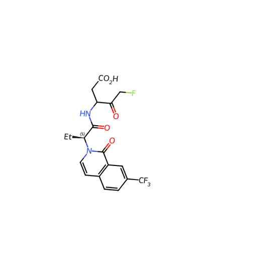 CC[C@@H](C(=O)NC(CC(=O)O)C(=O)CF)n1ccc2ccc(C(F)(F)F)cc2c1=O